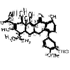 COc1ccc(-c2ccc(O)c3c2CC2CC4C(N(C)C)C(O)=C(C(N)=O)C(=O)C4(O)C(O)=C2C3=O)cc1C=O